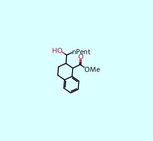 CCCCCC(O)C1CCc2ccccc2C1C(=O)OC